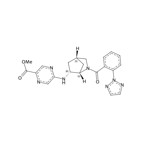 COC(=O)c1cnc(N[C@@H]2C[C@H]3C[C@@H]2N(C(=O)c2ccccc2-n2nccn2)C3)cn1